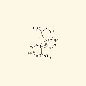 CC1COc2cccc(N3CCNCC3C)c2O1